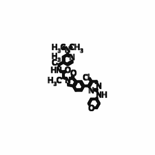 C[C@H](C(=O)N[C@H](C)c1ccnc(N(C)C)c1)N1Cc2ccc(-c3nc(NC4CCOCC4)ncc3Cl)cc2C1=O